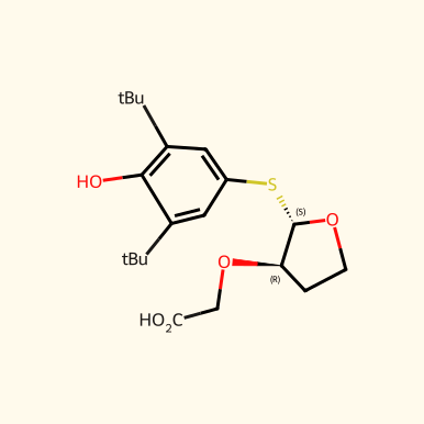 CC(C)(C)c1cc(S[C@@H]2OCC[C@H]2OCC(=O)O)cc(C(C)(C)C)c1O